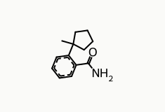 CC1(c2ccccc2C(N)=O)CCCC1